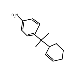 CC(C)(c1ccc([N+](=O)[O-])cc1)C1C=CCCC1